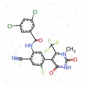 Cn1c(C(F)(F)F)c(-c2cc(NC(=O)c3cc(Cl)cc(Cl)c3)c(C#N)cc2F)c(=O)[nH]c1=O